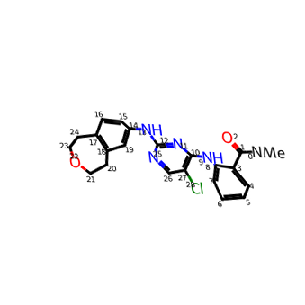 CNC(=O)c1ccccc1Nc1nc(Nc2ccc3c(c2)CCOCC3)ncc1Cl